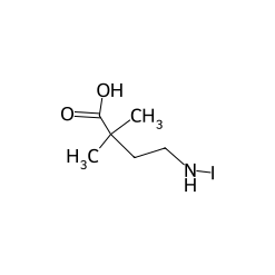 CC(C)(CCNI)C(=O)O